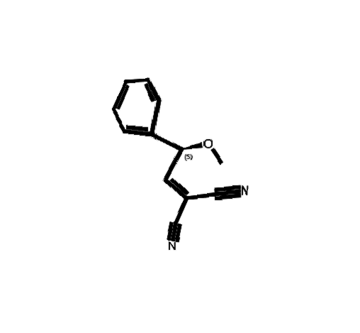 CO[C@@H](C=C(C#N)C#N)c1ccccc1